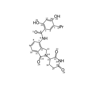 CC(C)c1cc(C(=O)Nc2cccc3c2CN(C2CCC(=O)NC2=O)C3=O)c(O)cc1O